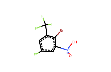 [O-][NH+](O)c1cc(F)cc(C(F)(F)F)c1Br